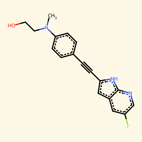 CN(CCO)c1ccc(C#Cc2cc3cc(F)cnc3[nH]2)cc1